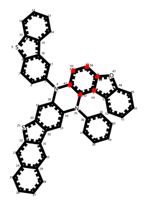 c1ccc(N(c2ccc3sc4ccccc4c3c2)c2cc3sc4cc5ccccc5cc4c3cc2N(c2ccccc2)c2cccc3oc4ccccc4c23)cc1